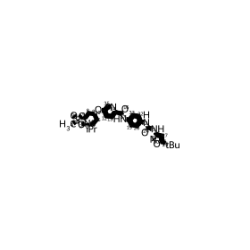 CC(C)[N+]1(OS(C)(=O)=O)CCC(Oc2ccc(C(=O)Nc3ccc(NC(=O)Nc4cc(C(C)(C)C)on4)cc3)nc2)CC1